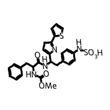 COC(=O)NC(Cc1ccccc1)C(=O)NC(Cc1ccc(NS(=O)(=O)O)cc1)C1=CCC(c2cccs2)=N1